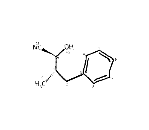 C[C@@H](Cc1ccccc1)[C@H](O)C#N